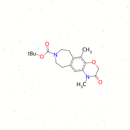 Cc1c2c(cc3c1OCC(=O)N3C)CCN(C(=O)OC(C)(C)C)CC2